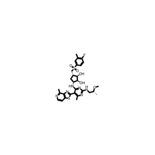 CO[C@H](C)CNc1nc(C)c(-c2nc3c(C)nccc3s2)c(N[C@@H]2C[C@H](CS(=O)(=O)c3ccc(F)c(C)c3)[C@@H](O)[C@H]2O)n1